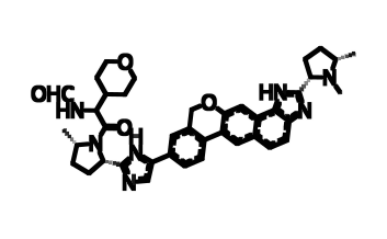 C[C@H]1CC[C@@H](c2nc3ccc4cc5c(cc4c3[nH]2)OCc2cc(-c3cnc([C@@H]4CC[C@H](C)N4C(=O)C(NC=O)C4CCOCC4)[nH]3)ccc2-5)N1C